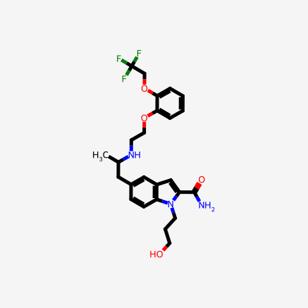 CC(Cc1ccc2c(c1)cc(C(N)=O)n2CCCO)NCCOc1ccccc1OCC(F)(F)F